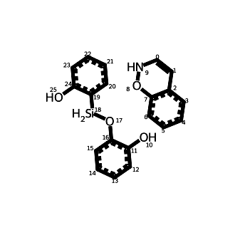 C1=Cc2ccccc2ON1.Oc1ccccc1O[SiH2]c1ccccc1O